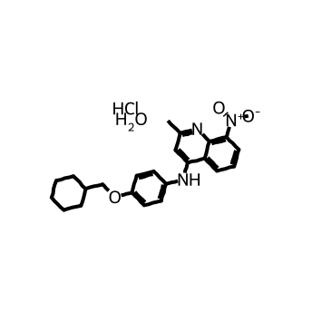 Cc1cc(Nc2ccc(OCC3CCCCC3)cc2)c2cccc([N+](=O)[O-])c2n1.Cl.O